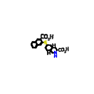 O=C(O)c1cc2ccccc2cc1S[C@H]1CC[C@H]2CN[C@H](C(=O)O)C[C@H]2C1